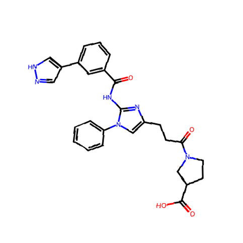 O=C(Nc1nc(CCC(=O)N2CCC(C(=O)O)C2)cn1-c1ccccc1)c1cccc(-c2cn[nH]c2)c1